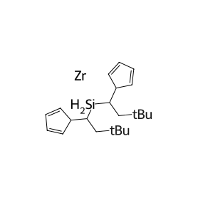 CC(C)(C)CC([SiH2]C(CC(C)(C)C)C1C=CC=C1)C1C=CC=C1.[Zr]